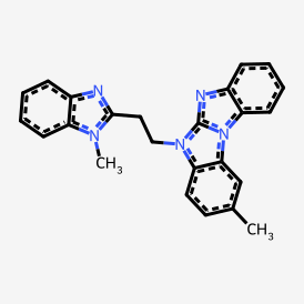 Cc1ccc2c(c1)n1c3ccccc3nc1n2CCc1nc2ccccc2n1C